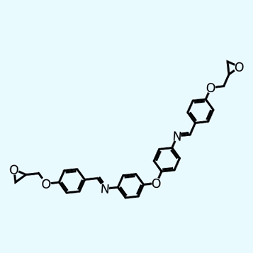 C(=Nc1ccc(Oc2ccc(N=Cc3ccc(OCC4CO4)cc3)cc2)cc1)c1ccc(OCC2CO2)cc1